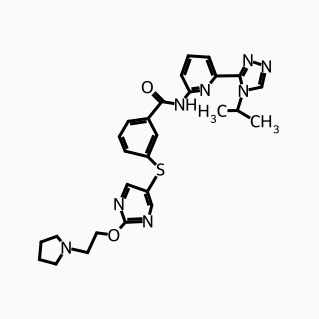 CC(C)n1cnnc1-c1cccc(NC(=O)c2cccc(Sc3cnc(OCCN4CCCC4)nc3)c2)n1